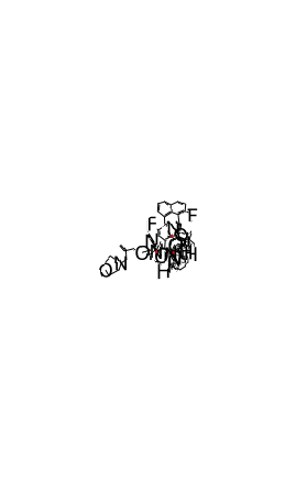 C=C(COc1nc2c3c(nc(-c4cccc5ccc(F)c(C#C[Si](C(C)C)(C(C)C)C(C)C)c45)c(F)c3n1)O[C@@H](C)[C@@H]1[C@@H]3CC[C@H](CN21)N3C(=O)OC(C)(C)C)CN1CCOCC1